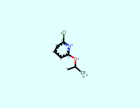 CC(Oc1cccc(Cl)n1)C(F)(F)F